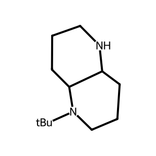 CC(C)(C)N1CCCC2NCCCC21